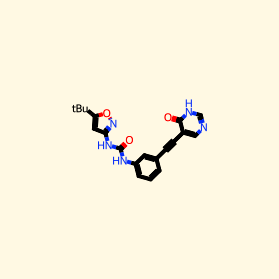 CC(C)(C)c1cc(NC(=O)Nc2cccc(C#Cc3cnc[nH]c3=O)c2)no1